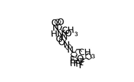 C/C=C\c1cc(C(OCc2ccccc2)(C(F)(F)F)C(F)(F)F)ccc1N1CCN(C(=O)CN2C(=O)NC(C)(c3cnc4c(c3)OCCO4)C2=O)CC1